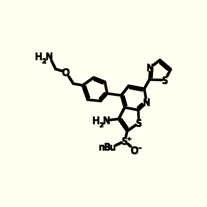 CCCC[S+]([O-])c1sc2nc(-c3nccs3)cc(-c3ccc(COCN)cc3)c2c1N